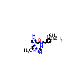 CCOc1ccc(CCNC(=O)CC2CNCCN2c2cc(C)nc(-n3ccnc3)n2)cc1OC